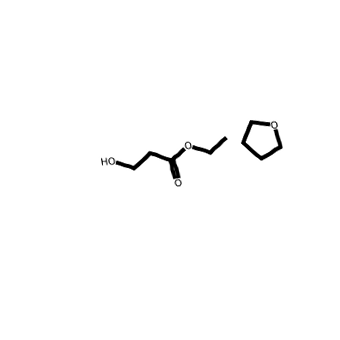 C1CCOC1.CCOC(=O)CCO